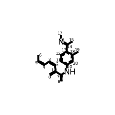 C=C(/C=C\C=C/C)C(=C)Nc1ccc(/C(C)=N/C)c(C)c1